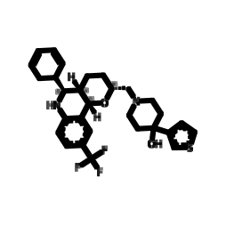 OC1(c2ccsc2)CCN(C[C@H]2CC[C@@H]3[C@H](O2)c2cc(C(F)(F)F)ccc2N[C@H]3C2C=CC=CC2)CC1